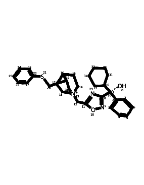 O[C@](c1ccccc1)(c1noc(C[N+]23CCC(CC2)C(CSc2ccccc2)C3)n1)C1CCCCC1